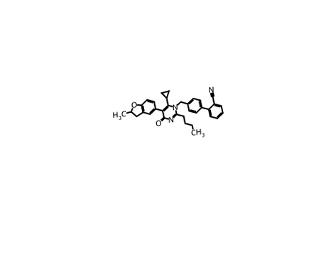 CCCCc1nc(=O)c(-c2ccc3c(c2)CC(C)O3)c(C2CC2)n1Cc1ccc(-c2ccccc2C#N)cc1